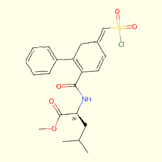 COC(=O)[C@H](CC(C)C)NC(=O)C1=C(c2ccccc2)CC(=CS(=O)(=O)Cl)C=C1